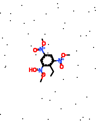 CCc1c(N(O)OC)cc([N+](=O)OC)cc1[N+](=O)OC